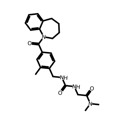 Cc1cc(C(=O)N2CCCCc3ccccc32)ccc1CNC(=O)NCC(=O)N(C)C